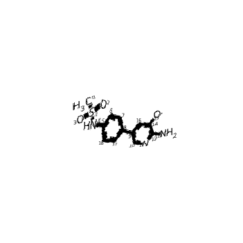 CS(=O)(=O)Nc1ccc(-c2cnc(N)c([O])c2)cc1